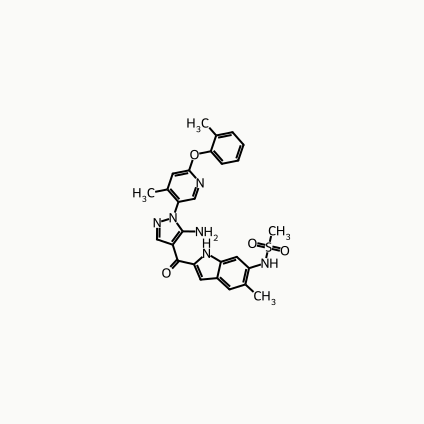 Cc1cc2cc(C(=O)c3cnn(-c4cnc(Oc5ccccc5C)cc4C)c3N)[nH]c2cc1NS(C)(=O)=O